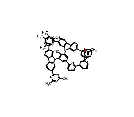 Cc1nc(C)nc(-c2ccc3c4ccc(-c5nc(C)nc(C)n5)cc4n(-c4cc(-c5cccc(-c6cccc(-c7ccccc7)c6)n5)cc(-n5c6cc(-c7nc(C)nc(C)n7)ccc6c6ccc(-c7nc(C)nc(C)n7)cc65)c4C#N)c3c2)n1